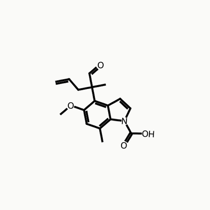 C=CCC(C)(C=O)c1c(OC)cc(C)c2c1ccn2C(=O)O